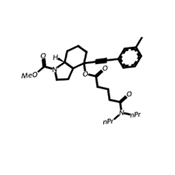 CCCN(CCC)C(=O)CCCC(=O)OC1(C#Cc2cccc(C)c2)CCC[C@@H]2C1CCN2C(=O)OC